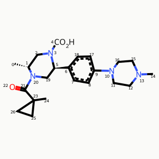 C[C@@H]1CN(C(=O)O)[C@@H](c2ccc(N3CCN(C)CC3)cc2)CN1C(=O)C1(C)CC1